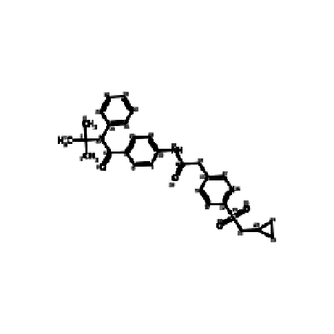 CC(C)(C)N(C(=O)c1ccc(NC(=O)Cc2ccc(S(=O)(=O)CC3CC3)nc2)cc1)c1ccccc1